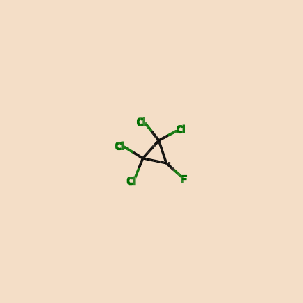 F[C]1C(Cl)(Cl)C1(Cl)Cl